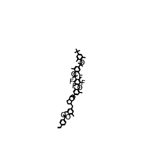 C=Cc1ccc(C(=O)Oc2c(C)cc(CC3CCC4C5CCC(C5c5cc(C)c(Oc6c(F)c(F)c(C(C)(C)Oc7c(C)cc(C(C)(C)Oc8c(C)cc(C(C)(C)C)cc8C)cc7C)c(F)c6F)c(C)c5)C34)cc2C)cc1